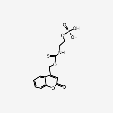 O=c1cc(COC(=S)NCCOP(=O)(O)O)c2ccccc2o1